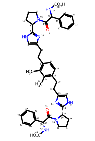 Cc1c(CCc2c[nH]c(C3CCCN3C(=O)C(NC(=O)O)c3ccccc3)n2)ccc(CCc2c[nH]c([C@@H]3CCCN3C(=O)[C@H](NC(=O)O)c3ccccc3)n2)c1C